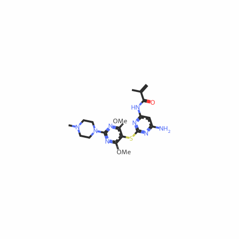 C=C(C)C(=O)Nc1cc(N)nc(Sc2c(OC)nc(N3CCN(C)CC3)nc2OC)n1